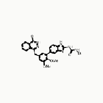 CCNC(=O)Nc1nc2cc(-c3cc(Cc4n[nH]c(=O)c5ccccc45)cc(OC)c3OC)ccc2[nH]1